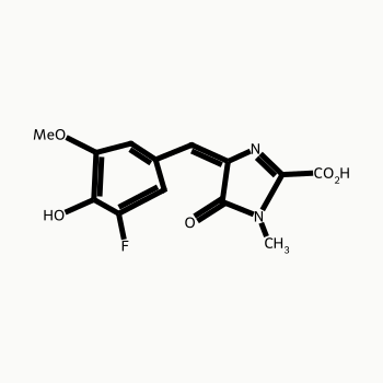 COc1cc(C=C2N=C(C(=O)O)N(C)C2=O)cc(F)c1O